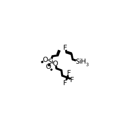 C=CC[Si](OC)(OC)OCCCC(F)(F)F.FC=CC[SiH3]